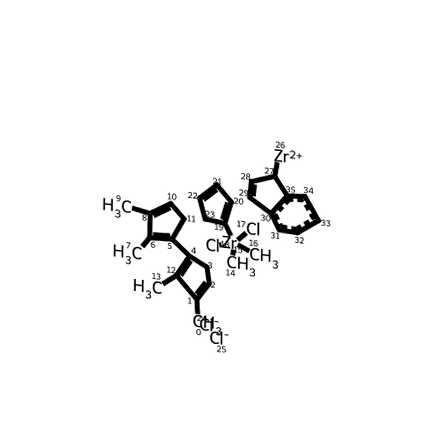 CC1=CCC(C2=C(C)C(C)=CC2)=C1C.[CH3][Zr]([CH3])([Cl])([Cl])[C]1=CC=CC1.[Cl-].[Cl-].[Zr+2][CH]1C=Cc2ccccc21